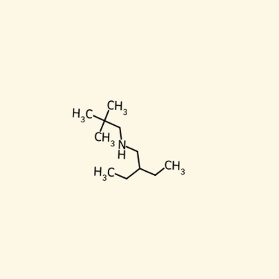 CCC(CC)CNCC(C)(C)C